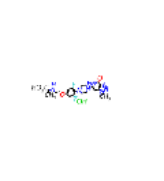 CC(NCCOc1cc(F)c(N2CCN(c3cc4c(nnn4C)c(=O)[nH]3)CC2)c(F)c1)C(=O)O.Cl